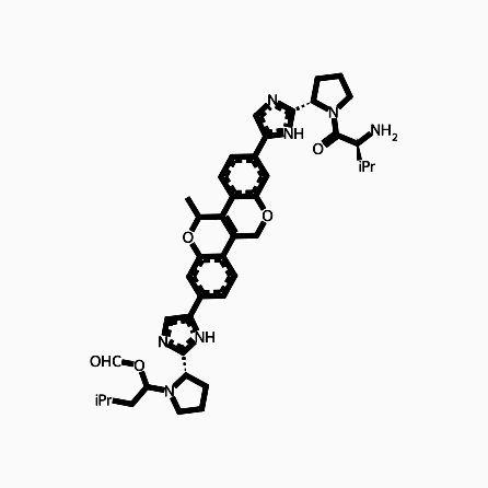 CC(C)CC(OC=O)N1CCC[C@H]1c1ncc(-c2ccc3c(c2)OC(C)C2=C3COc3cc(-c4cnc([C@@H]5CCCN5C(=O)[C@@H](N)C(C)C)[nH]4)ccc32)[nH]1